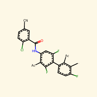 [CH2]c1c(F)ccc(-c2c(F)cc(NC(=O)c3cc(C#N)ccc3Cl)c(C(C)=O)c2F)c1C(C)=O